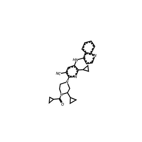 N#Cc1cc(Nc2ccnc3ccccc23)c(C2CC2)nc1N1CCN(C(=O)C2CC2)C(C2CC2)C1